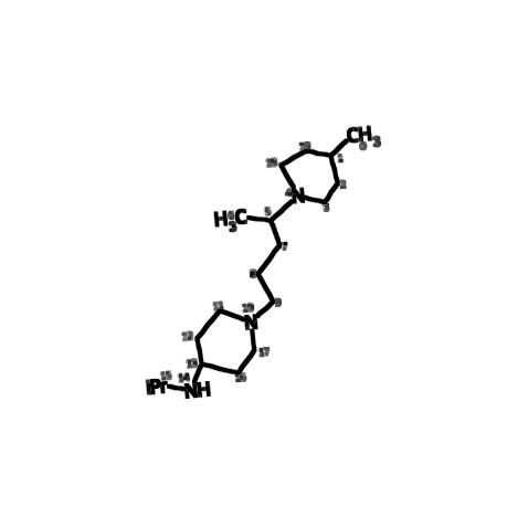 CC1CCN(C(C)CCCN2CCC(NC(C)C)CC2)CC1